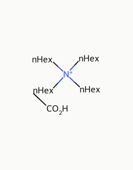 CC(=O)O.CCCCCC[N+](CCCCCC)(CCCCCC)CCCCCC